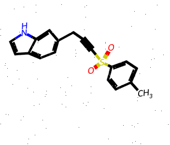 Cc1ccc(S(=O)(=O)C#CCc2ccc3cc[nH]c3c2)cc1